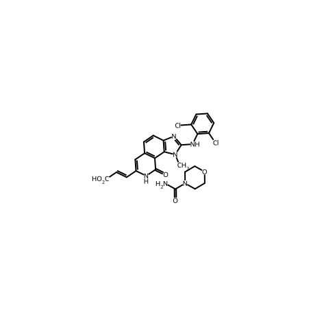 Cn1c(Nc2c(Cl)cccc2Cl)nc2ccc3cc(C=CC(=O)O)[nH]c(=O)c3c21.NC(=O)N1CCOCC1